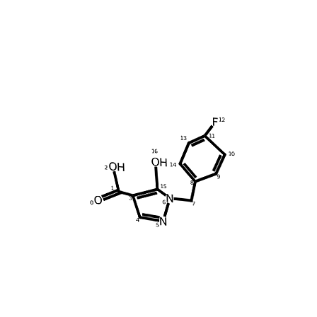 O=C(O)c1cnn(Cc2ccc(F)cc2)c1O